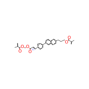 C=C(C)C(=O)OCCCc1ccc2cc(-c3ccc(/C=C/C(=O)OCOC(=O)C(=C)C)cc3)ccc2c1